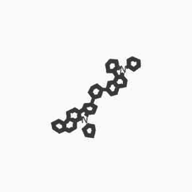 c1ccc(-n2c3ccccc3c3c4cc(-c5cccc(-c6ccc7c(c6)c6ccc8c9ccccc9ccc8c6n7-c6ccccc6)c5)ccc4ccc32)cc1